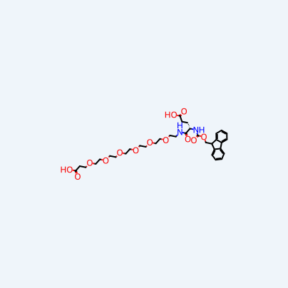 O=C(O)CCOCCOCCOCCOCCOCCOCCNC(=O)[C@H](CCC(=O)O)NC(=O)OCC1c2ccccc2-c2ccccc21